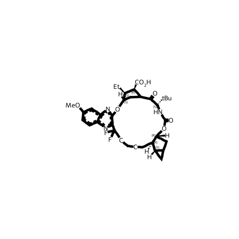 CC[C@@H]1[C@@H]2CC(C(=O)[C@H](C(C)(C)C)NC(=O)O[C@@H]3CC4C[C@@H]4[C@H]3CCCCC(F)(F)c3nc4ccc(OC)cc4nc3O2)[C@@H]1C(=O)O